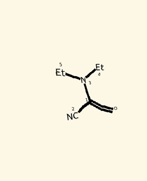 C=C(C#N)N(CC)CC